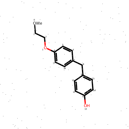 COCCOc1ccc(Cc2ccc(O)cc2)cc1